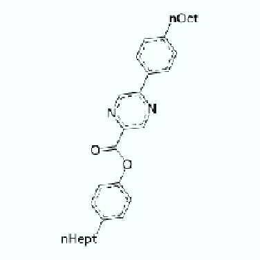 CCCCCCCCc1ccc(-c2cnc(C(=O)Oc3ccc(CCCCCCC)cc3)cn2)cc1